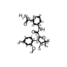 COc1cc(F)ccc1[C@H]1[C@@H](C(=O)Nc2ccnc(C(N)=O)c2)OC(C)(C)[C@H]1C